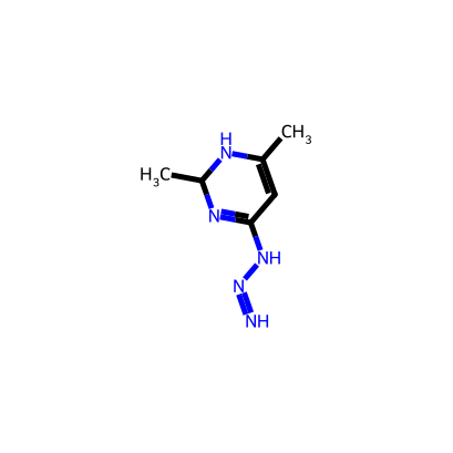 CC1=CC(NN=N)=NC(C)N1